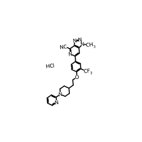 Cl.Cn1nnc2c(C#N)nc(-c3ccc(OCCC4CCN(c5ccccn5)CC4)c(C(F)(F)F)c3)cc21